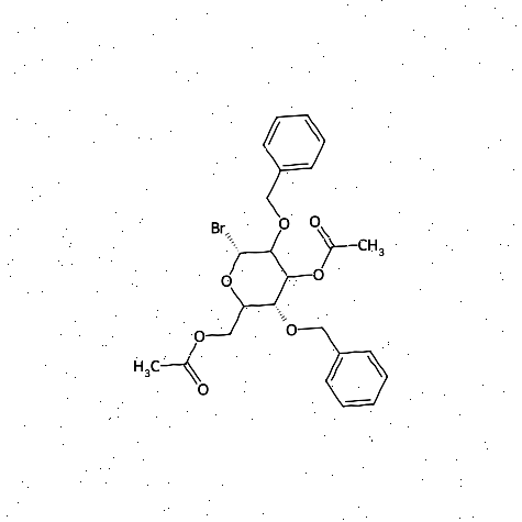 CC(=O)OCC1O[C@H](Br)C(OCc2ccccc2)C(OC(C)=O)[C@@H]1OCc1ccccc1